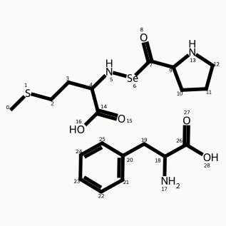 CSCCC(N[Se]C(=O)C1CCCN1)C(=O)O.NC(Cc1ccccc1)C(=O)O